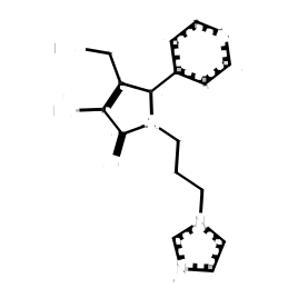 CCC1=C(O)C(=O)N(CCCn2ccnc2)C1c1ccncc1